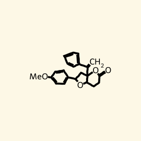 C=C(c1ccccc1)C12CC(c3ccc(OC)cc3)OC1CCC(=O)O2